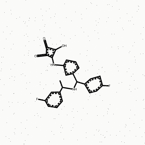 CC(NC(c1ccc(F)cc1)c1cccc(Nc2c(O)c(=O)c2=O)c1)c1cccc(F)c1